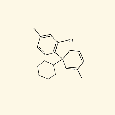 CC1=CC(c2ccc(C)cc2O)(C2CCCCC2)CC=C1